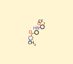 CN1CCC(C(=O)c2cccc(Nc3ccccc3OC(F)(F)F)c2)CC1